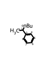 CC[C]CC(C)c1ccccc1